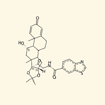 CC1(C)O[C@H]2CC3C4CCC5=CC(=O)C=CC5(C)C4[C@@H](O)CC3(C)[C@]2(C(=O)CNC(=O)c2ccc3ncsc3c2)O1